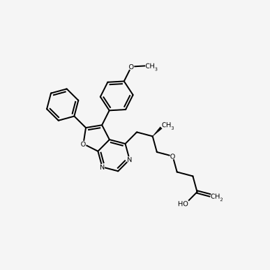 C=C(O)CCOC[C@H](C)Cc1ncnc2oc(-c3ccccc3)c(-c3ccc(OC)cc3)c12